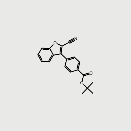 CC(C)(C)OC(=O)c1ccc(-c2c(C#N)oc3ccccc23)cc1